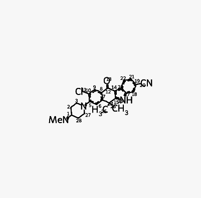 CNC1CCN(c2cc3c(cc2Cl)C(=O)c2c([nH]c4cc(C#N)ccc24)C3(C)C)CC1